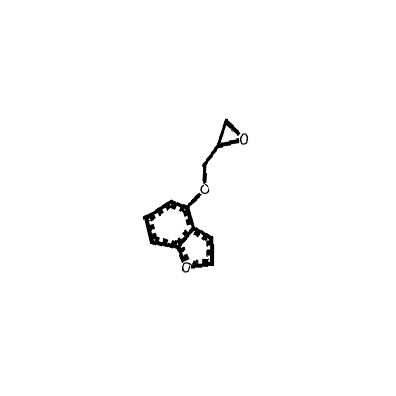 c1cc(OCC2CO2)c2ccoc2c1